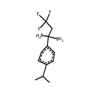 BC(B)(CC(F)(F)F)c1ccc(C(C)C)cc1